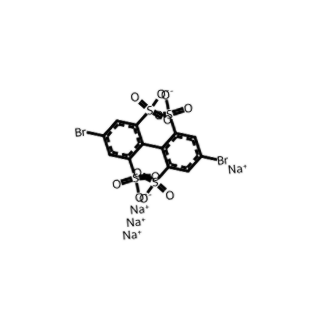 O=S(=O)([O-])c1cc(Br)cc(S(=O)(=O)[O-])c1-c1c(S(=O)(=O)[O-])cc(Br)cc1S(=O)(=O)[O-].[Na+].[Na+].[Na+].[Na+]